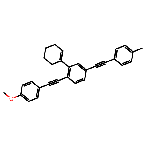 COc1ccc(C#Cc2ccc(C#Cc3ccc(C)cc3)cc2C2=CCCCC2)cc1